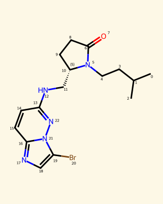 CC(C)CCN1C(=O)CC[C@H]1CNc1ccc2ncc(Br)n2n1